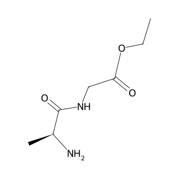 CCOC(=O)CNC(=O)[C@H](C)N